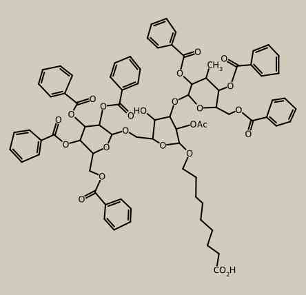 CC(=O)OC1C(OCCCCCCCCC(=O)O)OC(COC2OC(COC(=O)c3ccccc3)C(OC(=O)c3ccccc3)C(OC(=O)c3ccccc3)C2OC(=O)c2ccccc2)C(O)C1OC1OC(COC(=O)c2ccccc2)C(OC(=O)c2ccccc2)C(C)C1OC(=O)c1ccccc1